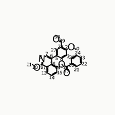 COc1ccc(-c2cnc(OC)c3cccc(OC(=O)c4ccccc4)c23)cc1C=O